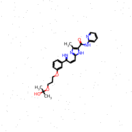 Cc1nc(/C=C\C(=N)c2cccc(OCCCOC(C)(C)O)c2)[nH]c1C(=O)Nc1ccccn1